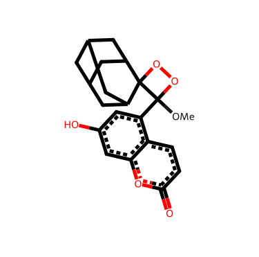 COC1(c2cc(O)cc3oc(=O)ccc23)OOC12C1CC3CC(C1)CC2C3